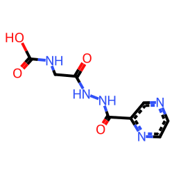 O=C(O)NCC(=O)NNC(=O)c1cnccn1